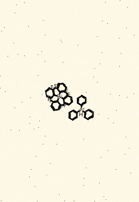 Fc1cccc(F)c1[B-](c1c(F)cccc1F)(c1c(F)cccc1F)c1c(F)cccc1F.c1ccc([PH+](c2ccccc2)c2ccccc2)cc1